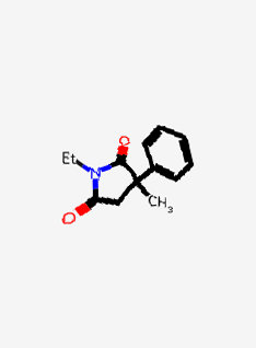 CCN1C(=O)CC(C)(c2ccccc2)C1=O